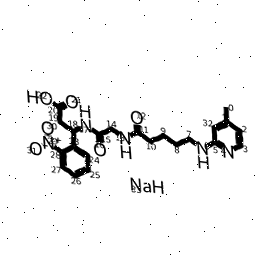 Cc1ccnc(NCCCCC(=O)NCC(=O)NC(CC(=O)O)c2ccccc2[N+](=O)[O-])c1.[NaH]